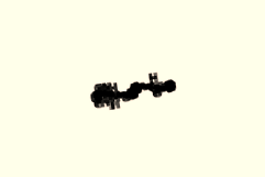 CC1OC[C@@H](O)[C@H]([C@H](O)[C@@H](O)CNCCCOc2ccc3cc(CCCCNC(=O)OCc4ccccc4)ccc3c2)O1